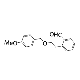 COc1ccc(COCCc2ccccc2C=O)cc1